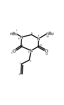 C=CCN1C(=O)N(CCCC)CN(CCCC)C1=O